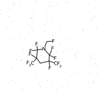 FCN1C(F)(F)C(F)(C(F)(F)F)CC(F)(C(F)(F)F)C1(F)F